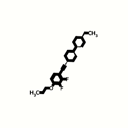 CCCOc1ccc(C#C[C@H]2CC[C@H]([C@H]3CC[C@H](CC)CC3)CC2)c(F)c1F